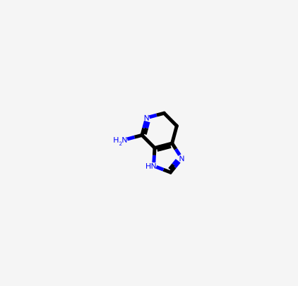 NC1=NCCc2nc[nH]c21